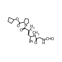 C/C(=C\C(C(C)C)N(C)C(=O)CNC=O)C(=O)N1CCCC1C(=O)OC1CCC1